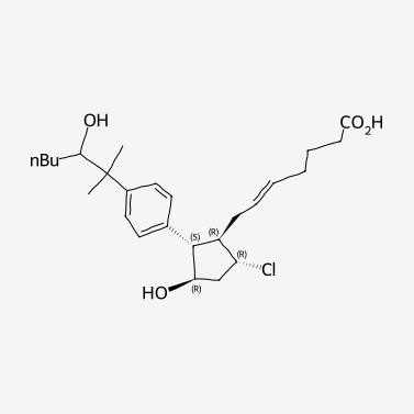 CCCCC(O)C(C)(C)c1ccc([C@@H]2[C@@H](CC=CCCCC(=O)O)[C@H](Cl)C[C@H]2O)cc1